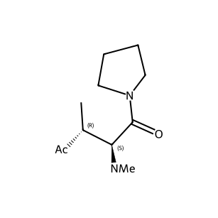 CN[C@H](C(=O)N1CCCC1)[C@@H](C)C(C)=O